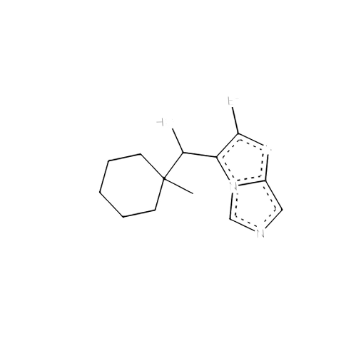 CCc1sc2cncn2c1C(O)C1(C)CCCCC1